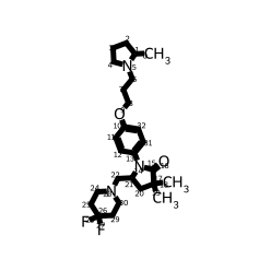 CC1CCCN1CCCOc1ccc(N2C(=O)C(C)(C)CC2CN2CCC(F)(F)CC2)cc1